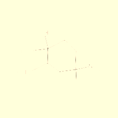 CC1(O)CCC([N+](=O)[O-])(C(F)(F)F)CC1C=O